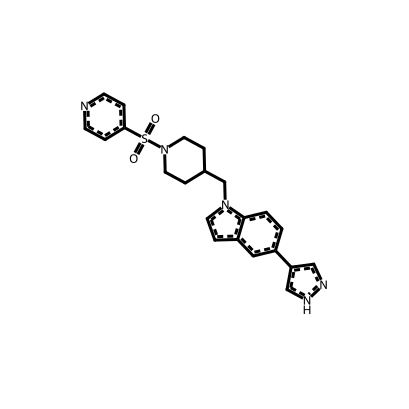 O=S(=O)(c1ccncc1)N1CCC(Cn2ccc3cc(-c4cn[nH]c4)ccc32)CC1